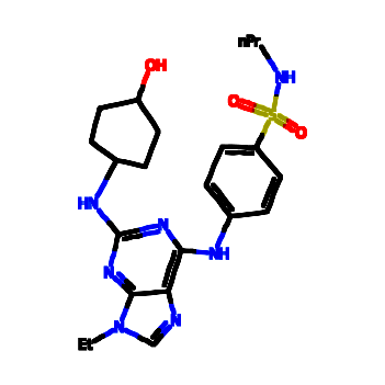 CCCNS(=O)(=O)c1ccc(Nc2nc(NC3CCC(O)CC3)nc3c2ncn3CC)cc1